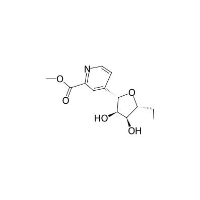 CC[C@H]1O[C@@H](c2ccnc(C(=O)OC)c2)[C@H](O)[C@@H]1O